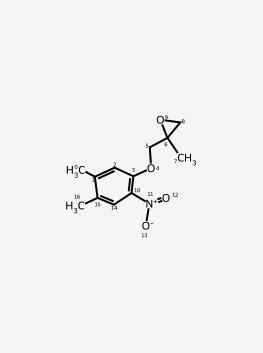 Cc1cc(OCC2(C)CO2)c([N+](=O)[O-])cc1C